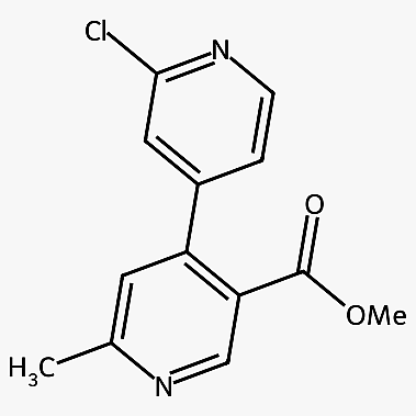 COC(=O)c1cnc(C)cc1-c1ccnc(Cl)c1